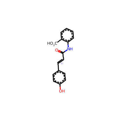 O=C(/C=C/c1ccc(O)cc1)Nc1ccccc1C(=O)O